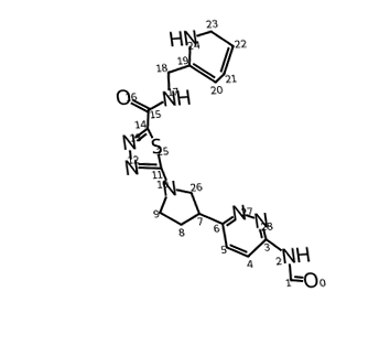 O=CNc1ccc(C2CCN(c3nnc(C(=O)NCC4=CC=CCN4)s3)C2)nn1